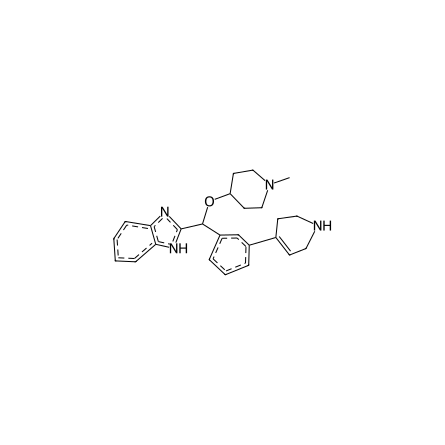 CN1CCC(OC(c2cccc(C3=CCNCC3)c2)c2nc3ccccc3[nH]2)CC1